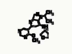 COc1ncncc1-c1cc(N[C@@H]2CCOC2)c2c(cnn2C(C)C)n1